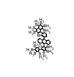 Bc1c(B)c(B)c2c(oc3c(-c4c5ccccc5c(-c5cccc(-c6c(B)c(B)c(B)c7c(B)c(B)c(B)c(B)c67)c5)c5ccccc45)c(B)c(B)c(B)c32)c1B